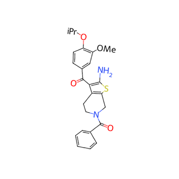 COc1cc(C(=O)c2c(N)sc3c2CCN(C(=O)c2ccccc2)C3)ccc1OC(C)C